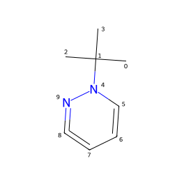 CC(C)(C)N1C=CC=C=N1